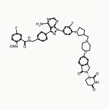 COc1ccc(F)cc1C(=O)NCc1ccc(-c2nn(-c3ccc(N4CCC(CN5CCN(c6ccc7c(c6)CN([C@H]6CCC(=O)NC6=O)C7=O)CC5)C4)c(F)c3)c3ncnc(N)c23)cc1